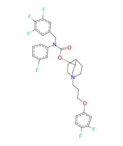 O=C(OC1C[N+]2(CCCOc3ccc(F)c(F)c3)CCC1CC2)N(Cc1cc(F)c(F)c(F)c1)c1cccc(F)c1